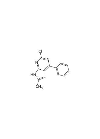 Cc1cc2c(-c3ccccc3)nc(Cl)nc2[nH]1